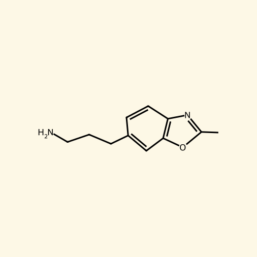 Cc1nc2ccc(CCCN)cc2o1